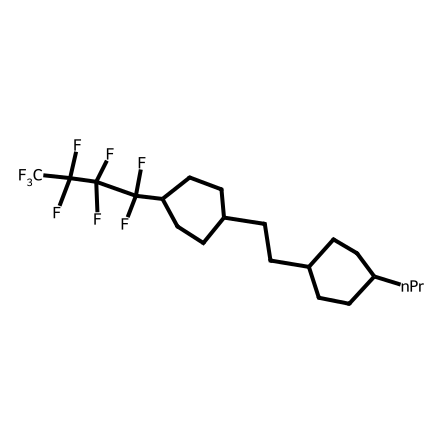 CCCC1CCC(CCC2CCC(C(F)(F)C(F)(F)C(F)(F)C(F)(F)F)CC2)CC1